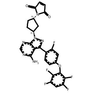 Nc1ncnc2c1c(-c1ccc(Oc3c(F)c(F)cc(F)c3F)cc1F)nn2[C@H]1CC[C@H](N2C(=O)C=CC2=O)C1